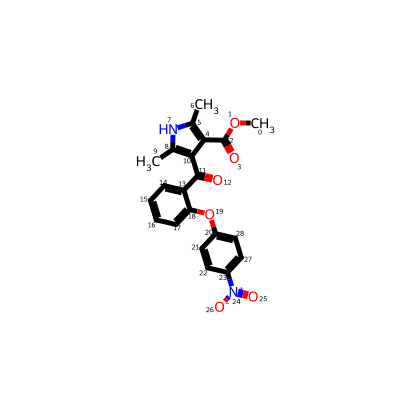 COC(=O)c1c(C)[nH]c(C)c1C(=O)c1ccccc1Oc1ccc([N+](=O)[O-])cc1